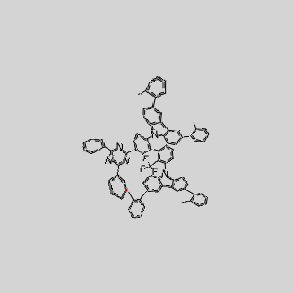 Cc1ccccc1-c1ccc2c(c1)c1cc(-c3ccccc3C)ccc1n2-c1ccc(-c2nc(-c3ccccc3)nc(-c3ccccc3)n2)cc1-c1cccc(-n2c3ccc(-c4ccccc4C)cc3c3cc(-c4ccccc4C)ccc32)c1C(F)(F)F